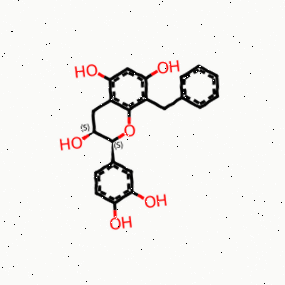 Oc1ccc([C@@H]2Oc3c(Cc4ccccc4)c(O)cc(O)c3C[C@@H]2O)cc1O